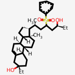 CC[C@H](O)CC(C[C@@H](C)[C@H]1CC[C@H]2[C@@H]3CC=C4C[C@](O)(CC)CC[C@@H]4[C@H]3CC[C@]12C)S(=O)(=O)c1ccccc1